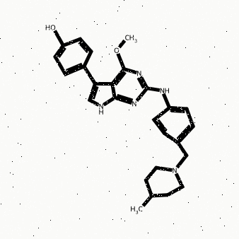 COc1nc(Nc2ccc(CN3CCC(C)CC3)cc2)nc2[nH]cc(-c3ccc(O)cc3)c12